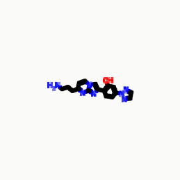 NCCCc1ccn2cc(-c3ccc(-n4nccn4)cc3O)nc2n1